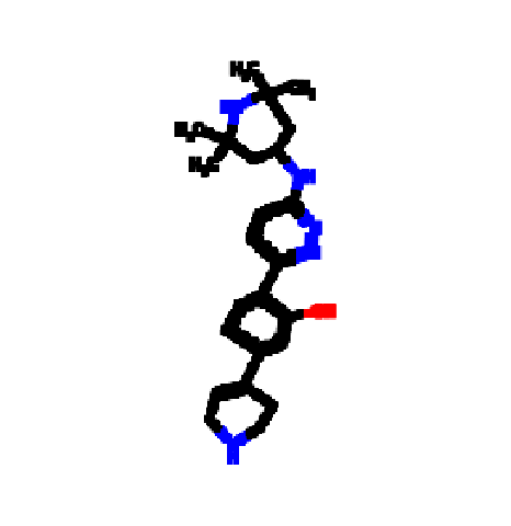 CC1(C)CC(Nc2ccc(-c3ccc(C4=CCNCC4)cc3O)nn2)CC(C)(C)N1